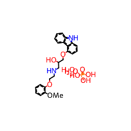 COc1ccccc1OCCNCC(O)COc1cccc2[nH]c3ccccc3c12.O.O.O=P(O)(O)O